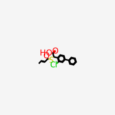 CC=CC(=O)SC(C(=O)O)c1ccc(-c2ccccc2)cc1Cl